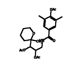 CC(=O)Oc1c(C)cc(C(=O)NCC(OC(C)=O)C(OC(C)=O)C2(C(=O)O)CCCCO2)cc1C